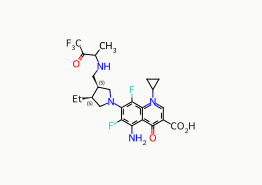 CC[C@@H]1CN(c2c(F)c(N)c3c(=O)c(C(=O)O)cn(C4CC4)c3c2F)C[C@@H]1CNC(C)C(=O)C(F)(F)F